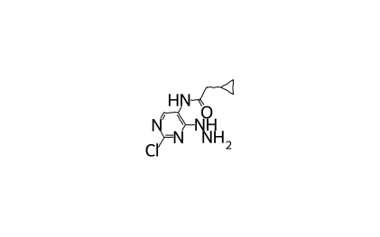 NNc1nc(Cl)ncc1NC(=O)CC1CC1